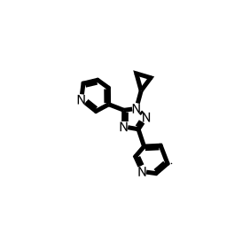 [c]1cncc(-c2nc(-c3cccnc3)n(C3CC3)n2)c1